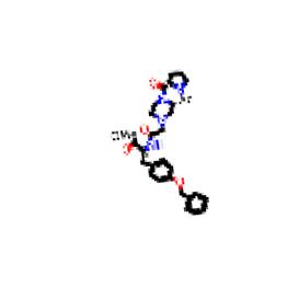 COC(=O)[C@H](Cc1ccc(OCc2ccccc2)cc1)NC(=O)CN1CCN(C(=O)[C@@H]2CCCN2C(C)=O)CC1